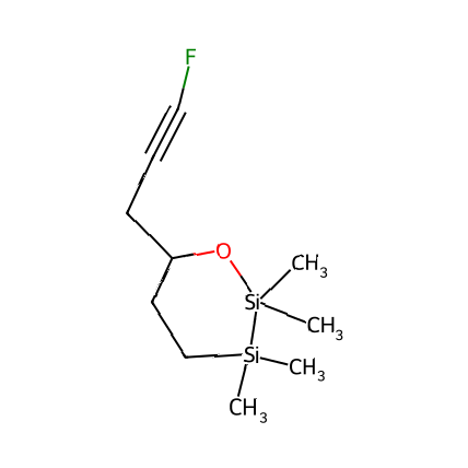 C[Si]1(C)CCC(CC#CF)O[Si]1(C)C